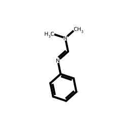 CN(C)C=Nc1c[c]ccc1